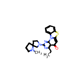 CCc1nc(N2CCC3(CCCN3C)C2)nc2c1c(=O)cc1sc3ccccc3n12